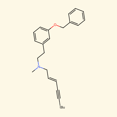 CN(CC=CC#CC(C)(C)C)CCc1cccc(OCc2ccccc2)c1